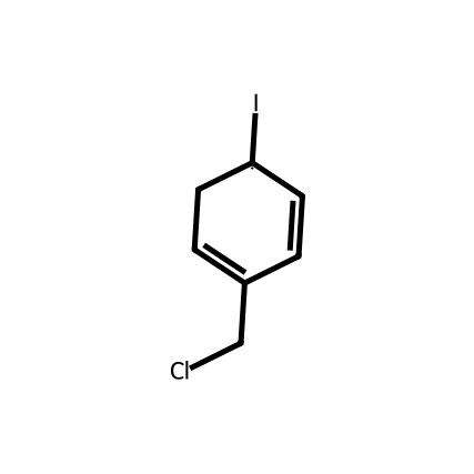 ClCC1=CC[C](I)C=C1